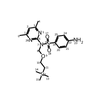 Cc1cc(C)nc(N(COCC[Si](C)(C)C)S(=O)(=O)c2ccc(N)cc2)n1